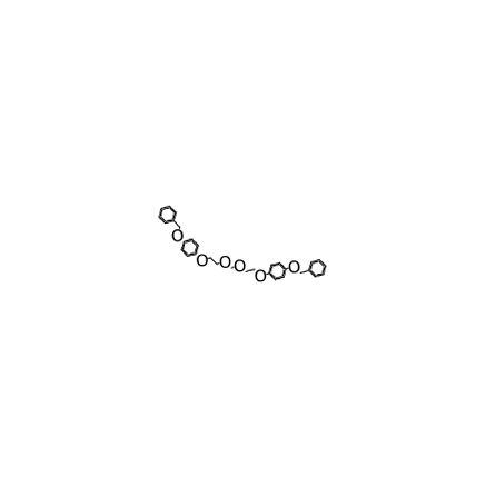 c1ccc(COc2ccc(OCCOCOCCOc3ccc(OCc4ccccc4)cc3)cc2)cc1